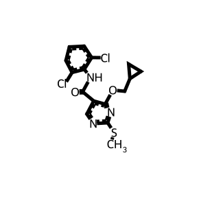 CSc1ncc(C(=O)Nc2c(Cl)cccc2Cl)c(OCC2CC2)n1